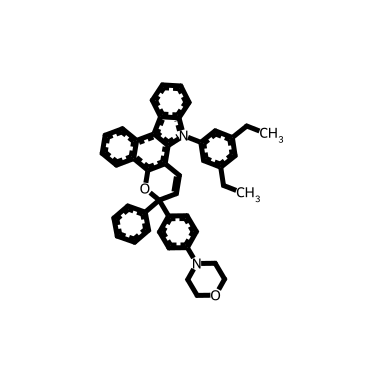 CCc1cc(CC)cc(-n2c3ccccc3c3c4ccccc4c4c(c32)C=CC(c2ccccc2)(c2ccc(N3CCOCC3)cc2)O4)c1